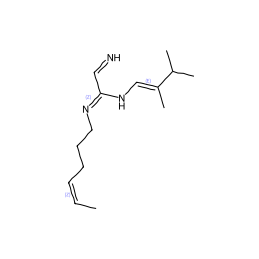 C/C=C\CCC/N=C(/C=N)N/C=C(\C)C(C)C